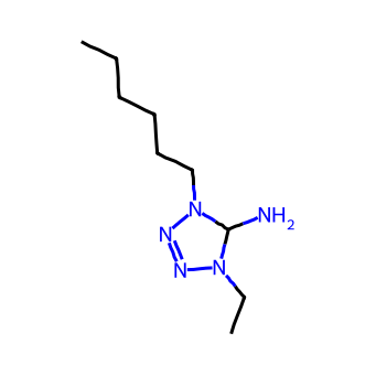 CCCCCCN1N=NN(CC)C1N